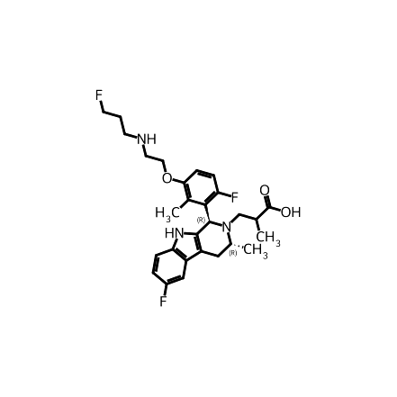 Cc1c(OCCNCCCF)ccc(F)c1[C@@H]1c2[nH]c3ccc(F)cc3c2C[C@@H](C)N1CC(C)C(=O)O